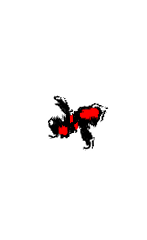 Cc1ccc(C)c(N(c2c(F)cc(-c3ccc([Si](C)(C)C)cc3)cc2-c2ccc([Si](C)(C)C)cc2)c2ccc3ccc4c(N(c5cc(C)ccc5C)c5c(F)cc(-c6ccc([Si](C)(C)C)cc6)cc5-c5ccc([Si](C)(C)C)cc5)ccc5ccc2c3c54)c1